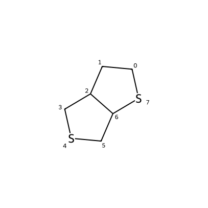 C1CC2CSCC2S1